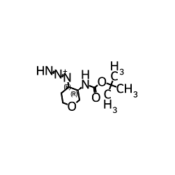 CC(C)(C)OC(=O)N[C@H]1COCC[C@H]1N=[N+]=N